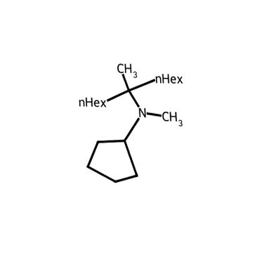 CCCCCCC(C)(CCCCCC)N(C)C1CCCC1